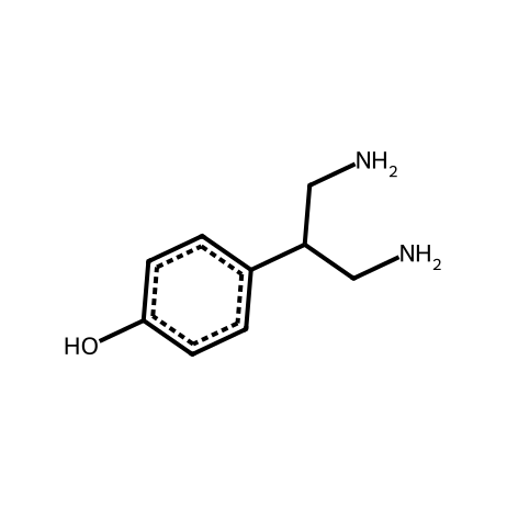 NCC(CN)c1ccc(O)cc1